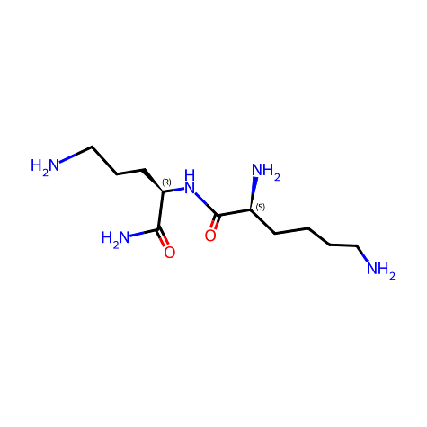 NCCCC[C@H](N)C(=O)N[C@H](CCCN)C(N)=O